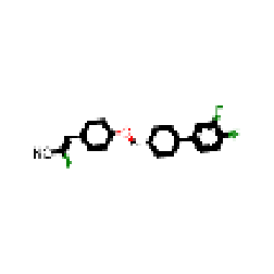 N#C/C(F)=C/[C@H]1CC[C@H](OC[C@H]2CC[C@H](c3ccc(F)c(F)c3)CC2)CC1